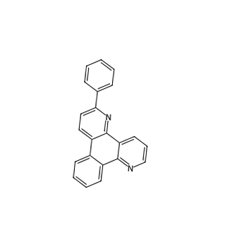 c1ccc(-c2ccc3c4ccccc4c4ncccc4c3n2)cc1